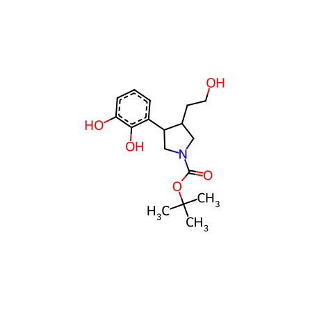 CC(C)(C)OC(=O)N1CC(CCO)C(c2cccc(O)c2O)C1